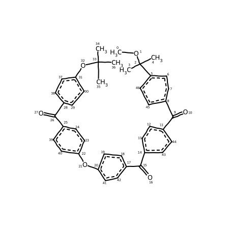 COC(C)(C)c1ccc(C(=O)c2ccc(C(=O)c3ccc(Oc4ccc(C(=O)c5ccc(OC(C)(C)C)cc5)cc4)cc3)cc2)cc1